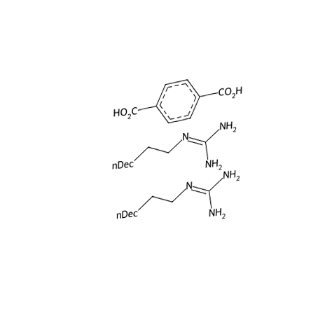 CCCCCCCCCCCCN=C(N)N.CCCCCCCCCCCCN=C(N)N.O=C(O)c1ccc(C(=O)O)cc1